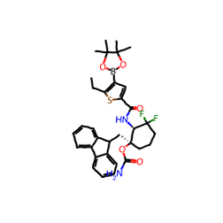 CCc1sc(C(=O)N[C@H]2C(F)(F)CCC[C@@]2(CC2c3ccccc3-c3ccccc32)OC(N)=O)cc1B1OC(C)(C)C(C)(C)O1